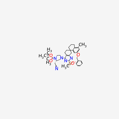 Cc1cc(OCc2ccccc2)cc2c1CCCC21CCc2c(nc([S+](C)[O-])nc2N2CCN(C(=O)OC(C)(C)C)[C@@H](CC#N)C2)C1